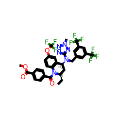 CC[C@@H]1C[C@H](N(Cc2cc(C(F)(F)F)cc(C(F)(F)F)c2)c2nnn(C)n2)c2cc(OC(F)(F)F)ccc2N1C(=O)c1ccc(C(=O)OC)cc1